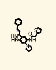 O=C(Cc1cccs1)Nc1cc2c(cc1N1CCCC1)NNC2/C=C/c1ccccc1